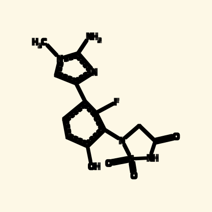 Cn1cc(-c2ccc(O)c(N3CC(=O)NS3(=O)=O)c2F)nc1N